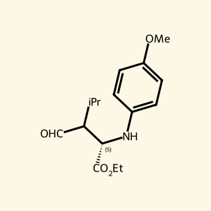 CCOC(=O)[C@@H](Nc1ccc(OC)cc1)C(C=O)C(C)C